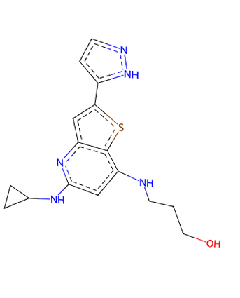 OCCCNc1cc(NC2CC2)nc2cc(-c3ccn[nH]3)sc12